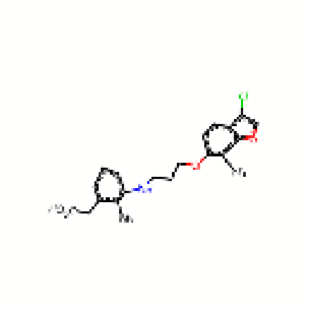 CCCc1c(CC(=O)O)cccc1NCCCOc1ccc2c(Cl)coc2c1CCC